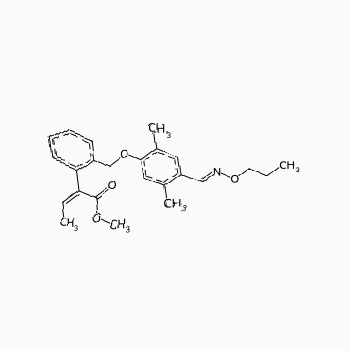 CC=C(C(=O)OC)c1ccccc1COc1cc(C)c(C=NOCCC)cc1C